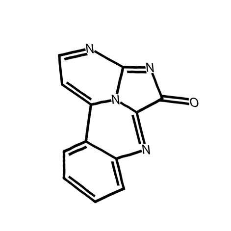 O=c1nc2nccc3c4ccccc4nc1N23